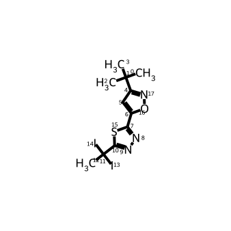 CC(C)(C)c1cc(-c2nnc(C(C)(I)I)s2)on1